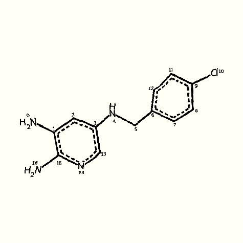 Nc1cc(NCc2ccc(Cl)cc2)cnc1N